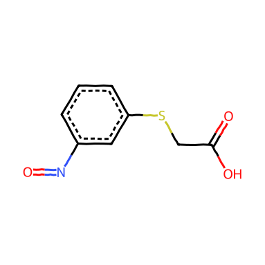 O=Nc1cccc(SCC(=O)O)c1